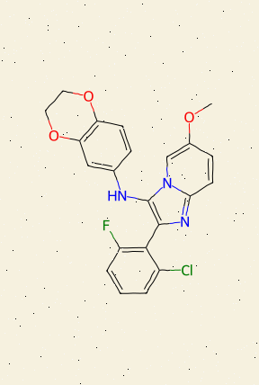 COc1ccc2nc(-c3c(F)cccc3Cl)c(Nc3ccc4c(c3)OCCO4)n2c1